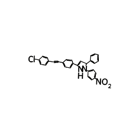 O=[N+]([O-])c1ccc(N2NC(c3ccc(C#Cc4ccc(Cl)cc4)cc3)=CC2c2ccccc2)cc1